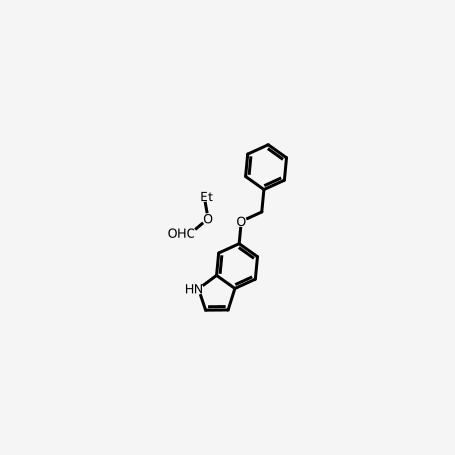 CCOC=O.c1ccc(COc2ccc3cc[nH]c3c2)cc1